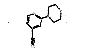 C#Cc1ccnc(N2CCOCC2)c1